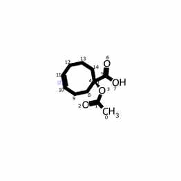 CC(=O)O[C@@]1(C(=O)O)CC/C=C\CCC1